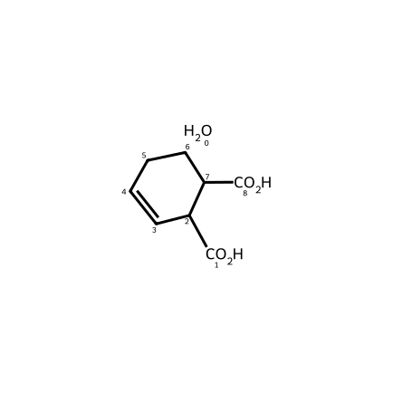 O.O=C(O)C1C=CCCC1C(=O)O